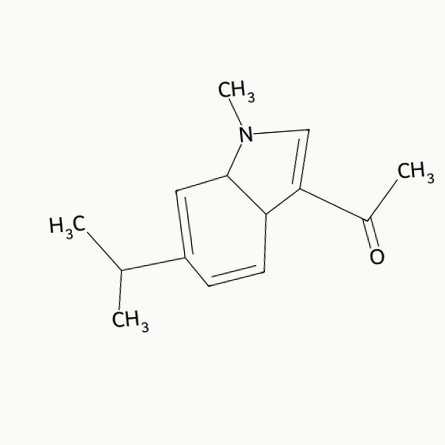 CC(=O)C1=CN(C)C2C=C(C(C)C)C=CC12